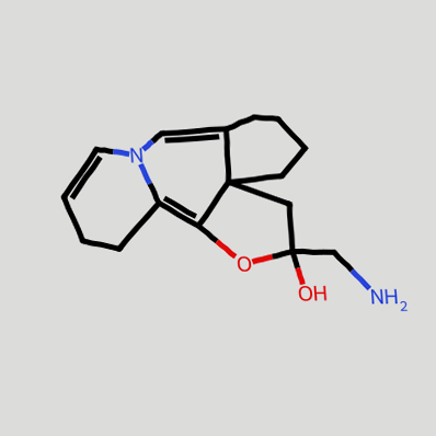 NCC1(O)CC23CCCCC2=CN2C=CCCC2=C3O1